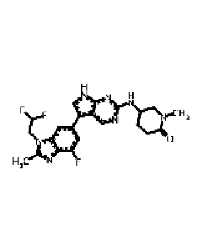 Cc1nc2c(F)cc(-c3c[nH]c4nc(NC5CCC(=O)N(C)C5)ncc34)cc2n1CC(F)F